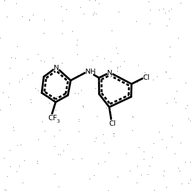 FC(F)(F)c1ccnc(Nc2cc(Cl)cc(Cl)n2)c1